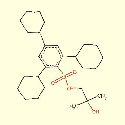 CC(C)(O)COS(=O)(=O)c1c(C2CCCCC2)cc(C2CCCCC2)cc1C1CCCCC1